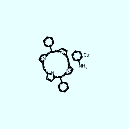 C1=Cc2nc1cc1ccc([nH]1)c(-c1ccccc1)c1nc(cc3ccc([nH]3)c2-c2ccccc2)C=C1.Nc1ccccc1.[Cu]